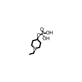 CCN1CCC(OP(=O)(O)O)CC1